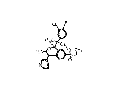 CCS(=O)(=O)c1ccc(C(C(N)=O)c2cccnc2)c(C(=O)C(C)(C)c2ccc(F)c(Cl)c2)c1